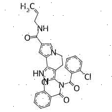 C=CCNC(=O)c1cc2n(c1)CCc1c(N(C(=O)c3ccccc3Cl)C(=O)c3ccccc3Cl)n[nH]c1-2